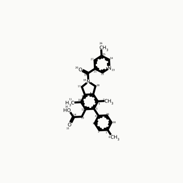 Cc1ccc(-c2c(C)c3c(c(C)c2CC(=O)O)CN(C(=O)c2cncc(C)c2)C3)cc1